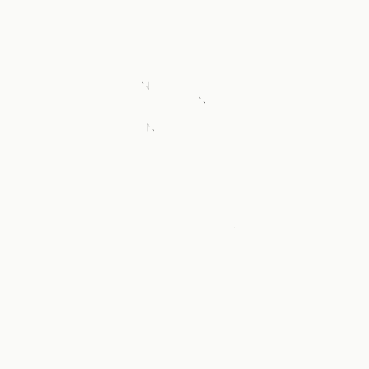 CC(C)C(=O)c1ccn2ncnc2c1